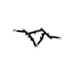 CC(C)CCCCCCCn1cc(CCOC(=O)CCN(CCCCCC(=O)OCCSSCCOC(=O)CCCCCN(CCC(=O)OCCc2cn(CCCCCCCC(C)C)nn2)CCC(=O)OCCc2cn(CCCCCCCC(C)C)nn2)CCC(=O)OCCc2cn(CCCCCCCC(C)C)nn2)nn1